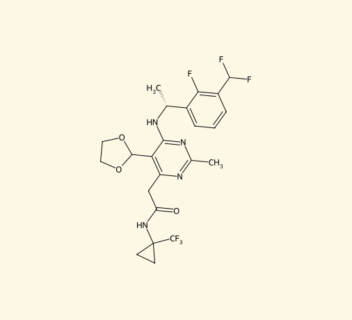 Cc1nc(CC(=O)NC2(C(F)(F)F)CC2)c(C2OCCO2)c(N[C@H](C)c2cccc(C(F)F)c2F)n1